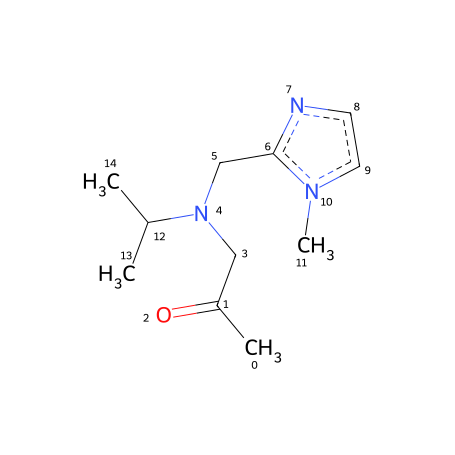 CC(=O)CN(Cc1nccn1C)C(C)C